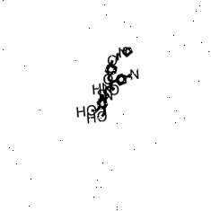 N#Cc1ccc(C(Oc2ccc(OCCN3CCCC3)cc2)C(=O)Nc2nc3cc(CO)c(CO)cc3s2)cc1